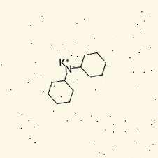 C1CCC([N-]C2CCCCC2)CC1.[K+]